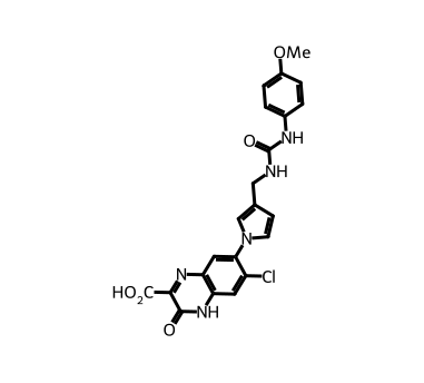 COc1ccc(NC(=O)NCc2ccn(-c3cc4nc(C(=O)O)c(=O)[nH]c4cc3Cl)c2)cc1